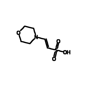 O=S(=O)(O)C=CN1CCOCC1